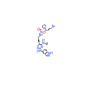 CN(C)C/C=C/C(=O)N1CCC[C@H]1C(=O)NCCCC#Cc1cnc(Nc2ccc3[nH]ncc3c2)nc1NC1CC1